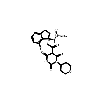 CC(C)(C)[S@+]([O-])N[C@@]1(CC(=O)C2C(=O)NC(=O)N(C3CCOCC3)C2=O)CCc2cccc(F)c21